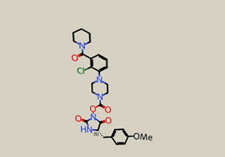 COc1ccc(C[C@@H]2NC(=O)N(OC(=O)N3CCN(c4cccc(C(=O)N5CCCCC5)c4Cl)CC3)C2=O)cc1